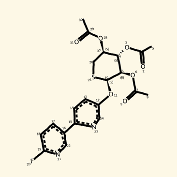 CC(=O)O[C@@H]1[C@@H](OC(C)=O)[C@@H](Oc2ccc(-c3ccc(F)nc3)nc2)SC[C@H]1OC(C)=O